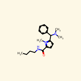 CCCCNC(=O)c1ccc(C(c2ccccc2)N(C)C)n1C